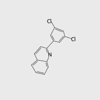 Clc1cc(Cl)cc(-c2ccc3ccccc3n2)c1